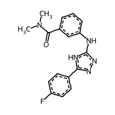 CN(C)C(=O)c1cccc(Nc2nnc(-c3ccc(F)cc3)[nH]2)c1